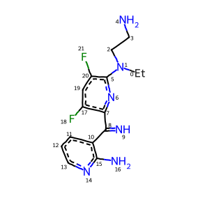 CCN(CCN)c1nc(C(=N)c2cccnc2N)c(F)cc1F